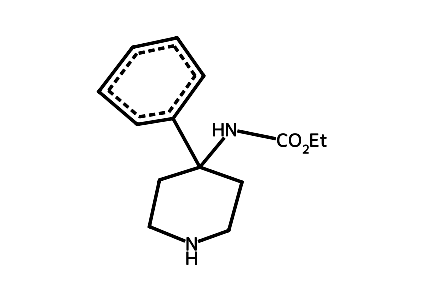 CCOC(=O)NC1(c2ccccc2)CCNCC1